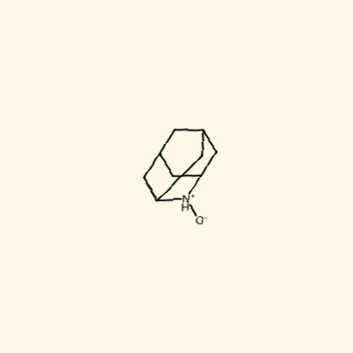 [O-][NH+]1C2CC3CC(C2)CC1C3